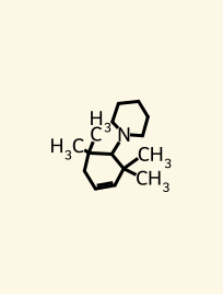 CC1(C)C=CCC(C)(C)C1N1CCCCC1